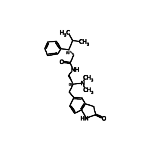 CC(C)[C@H](CC(=O)NC[C@H](Cc1ccc2c(c1)CC(=O)N2)N(C)C)c1ccccc1